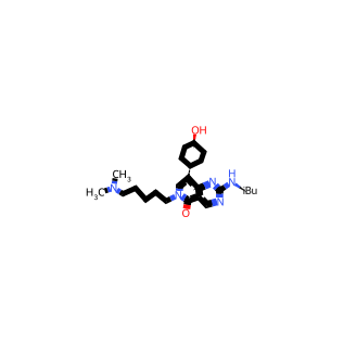 CC[C@H](C)Nc1ncc2c(=O)n(CCCCCN(C)C)cc([C@H]3CC[C@H](O)CC3)c2n1